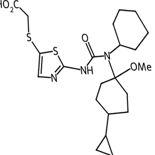 COC1(N(C(=O)Nc2ncc(SCC(=O)O)s2)C2CCCCC2)CCC(C2CC2)CC1